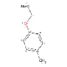 [CH2]OCOc1ccc(C)cc1